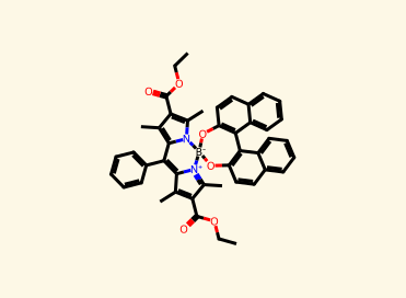 CCOC(=O)C1=C(C)C2=C(c3ccccc3)c3c(C)c(C(=O)OCC)c(C)n3[B-]3(Oc4ccc5ccccc5c4-c4c(ccc5ccccc45)O3)[N+]2=C1C